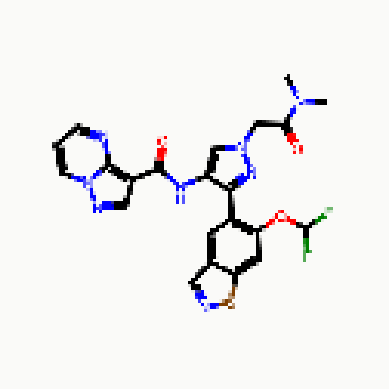 CN(C)C(=O)Cn1cc(NC(=O)c2cnn3cccnc23)c(-c2cc3cnsc3cc2OC(F)F)n1